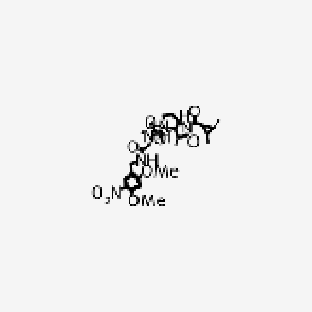 COc1cc(OC)c([N+](=O)[O-])cc1CNC(=O)CN(C)S(=O)(=O)N1CC[C@H]2[C@H]1[C@H](C)C(=O)N2C(=O)C1[C@@H](C)[C@H]1C